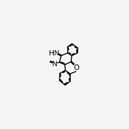 C=NC1=C(c2ccccc2C)C(=O)c2ccccc2C1=N